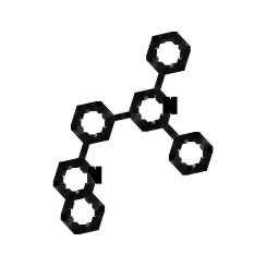 c1ccc(-c2cc(-c3cccc(-c4ccc5ccccc5n4)c3)cc(-c3ccccc3)n2)cc1